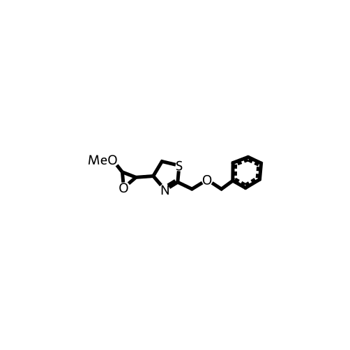 COC1OC1C1CSC(COCc2ccccc2)=N1